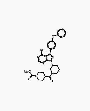 COC(=O)N1CCC(C(=O)N2CCC[C@@H](n3nc(-c4ccc(Oc5ccccc5)cc4)c4c(N)ncnc43)C2)CC1